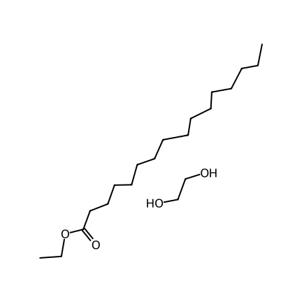 CCCCCCCCCCCCCCCC(=O)OCC.OCCO